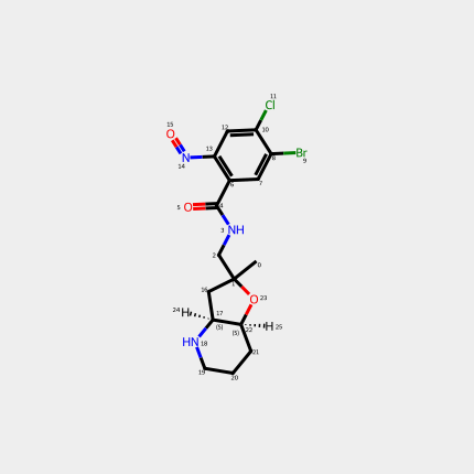 CC1(CNC(=O)c2cc(Br)c(Cl)cc2N=O)C[C@@H]2NCCC[C@@H]2O1